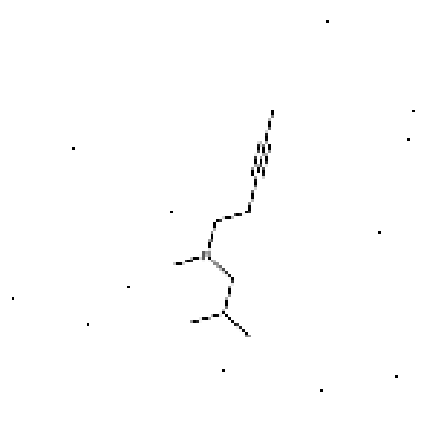 CC#CCCN(C)CC(C)C